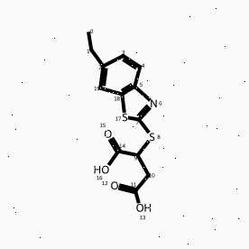 CCc1ccc2nc(SC(CC(=O)O)C(=O)O)sc2c1